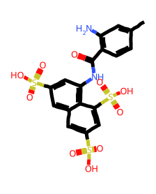 Cc1ccc(C(=O)Nc2cc(S(=O)(=O)O)cc3cc(S(=O)(=O)O)cc(S(=O)(=O)O)c23)c(N)c1